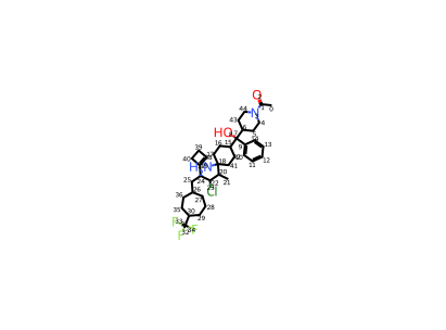 CC(=O)N1CCC(C(O)(c2ccccc2)C2CCC(N)(C(C)C(Cl)C(CC3CCCC(C(F)(F)F)CC3)C3=CCC3)CC2)CC1